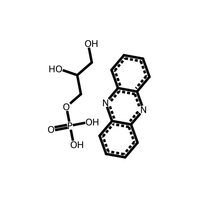 O=P(O)(O)OCC(O)CO.c1ccc2nc3ccccc3nc2c1